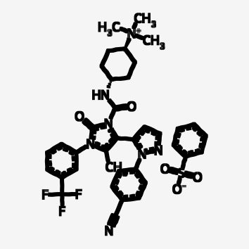 Cc1c(-c2ccnn2-c2ccc(C#N)cc2)n(C(=O)N[C@H]2CC[C@H]([N+](C)(C)C)CC2)c(=O)n1-c1cccc(C(F)(F)F)c1.O=S(=O)([O-])c1ccccc1